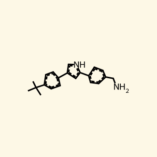 CC(C)(C)c1ccc(-c2c[nH]c(-c3ccc(CN)cc3)c2)cc1